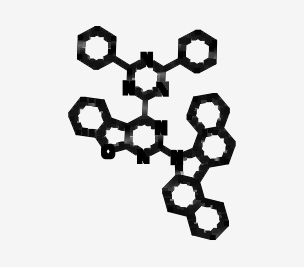 c1ccc(-c2nc(-c3ccccc3)nc(-c3nc(-n4c5ccc6ccccc6c5c5ccc6ccccc6c54)nc4oc5ccccc5c34)n2)cc1